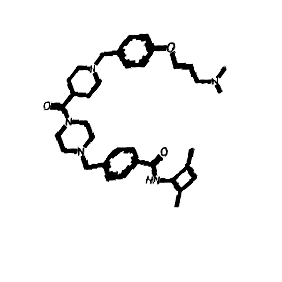 CC1CC(C)C1NC(=O)c1ccc(CN2CCN(C(=O)C3CCN(Cc4ccc(OCCCN(C)C)cc4)CC3)CC2)cc1